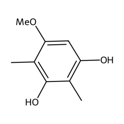 COc1cc(O)c(C)c(O)c1C